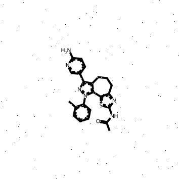 CC(=O)Nc1nc2c(s1)-c1c(c(-c3ccc(N)nc3)nn1-c1ccccc1C)CCC2